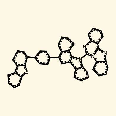 c1ccc2c(c1)nc(-n1c3ccccc3c3cc(-c4ccc(-c5cccc6c5sc5ccccc56)cc4)c4ccccc4c31)n1c3ccccc3nc21